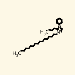 CCCCCCCCCCCCCCCCC[n+]1ccn(-c2ccccc2)c1CCCC